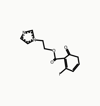 O=C1CC=CC(I)=C1C(=O)OCCn1ccnc1